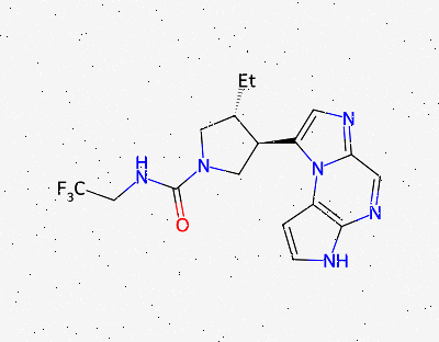 CC[C@H]1CN(C(=O)NCC(F)(F)F)C[C@@H]1c1cnc2cnc3[nH]ccc3n12